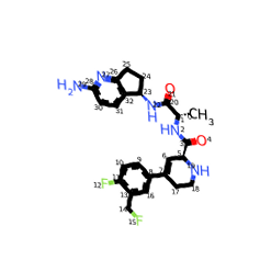 C[C@H](NC(=O)[C@@H]1C=C(c2ccc(F)c(CF)c2)CCN1)C(=O)N[C@@H]1CCc2nc(N)ccc21